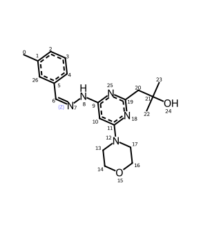 Cc1cccc(/C=N\Nc2cc(N3CCOCC3)nc(CC(C)(C)O)n2)c1